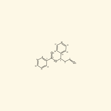 O=CCC(OC(=O)c1ccccc1)c1ccccc1